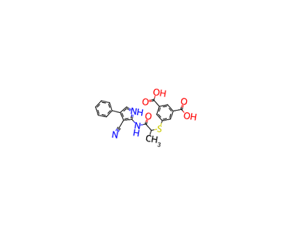 CC(Sc1cc(C(=O)O)cc(C(=O)O)c1)C(=O)Nc1[nH]cc(-c2ccccc2)c1C#N